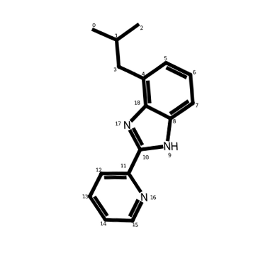 CC(C)Cc1cccc2[nH]c(-c3ccccn3)nc12